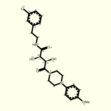 COc1ccc(N2CCN(C(=O)[C@H](O)[C@@H](O)C(=O)NCCc3cccc(Cl)c3)CC2)cc1